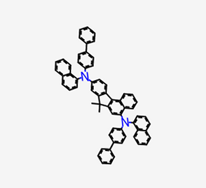 CC1(C)c2cc(N(c3ccc(-c4ccccc4)cc3)c3cccc4ccccc34)ccc2-c2c1cc(N(c1ccc(-c3ccccc3)cc1)c1cccc3ccccc13)c1ccccc21